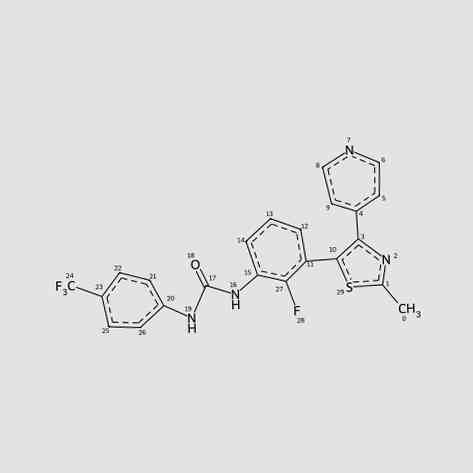 Cc1nc(-c2ccncc2)c(-c2cccc(NC(=O)Nc3ccc(C(F)(F)F)cc3)c2F)s1